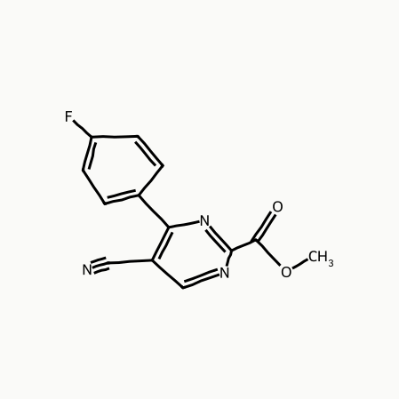 COC(=O)c1ncc(C#N)c(-c2ccc(F)cc2)n1